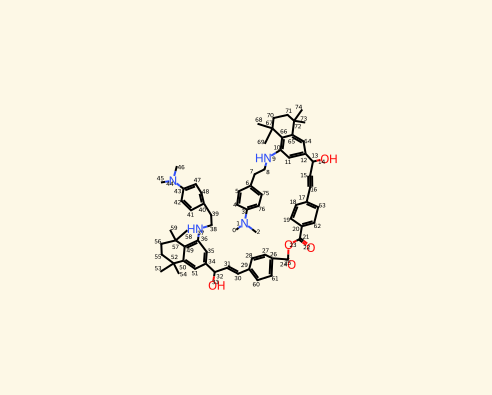 CN(C)c1ccc(CCNc2cc(C(O)C#Cc3ccc(C(=O)OC(=O)c4ccc(C=CC(O)c5cc(NCCc6ccc(N(C)C)cc6)c6c(c5)C(C)(C)CCC6(C)C)cc4)cc3)cc3c2C(C)(C)CCC3(C)C)cc1